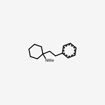 CNC1(CCc2ccccc2)CCCCC1